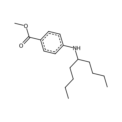 CCCCC(CCCC)Nc1ccc(C(=O)OC)cc1